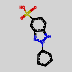 O=S(=O)(O)c1ccc2[nH][n+](-c3ccccc3)nc2c1